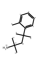 Cc1ccccc1C(C)(C)CC(C)(C)N